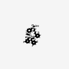 COC(=O)N[C@H](C(=O)Nc1cccc(F)c1CC[C@@H]1CN(C(=O)O)CC2(CCCC3(C2)OCCO3)O1)[C@@H](c1ccc(F)cc1)c1cc(F)cc(F)c1